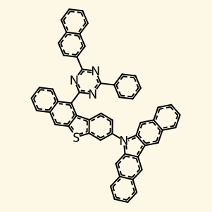 c1ccc(-c2nc(-c3ccc4ccccc4c3)nc(-c3c4ccccc4cc4sc5cc(-n6c7cc8ccccc8cc7c7cc8ccccc8cc76)ccc5c34)n2)cc1